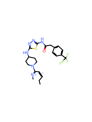 CC/C=C\C(=N/C)N1CCC(Nc2nnc(NC(=O)Cc3ccc(C(F)(F)F)cc3)s2)CC1